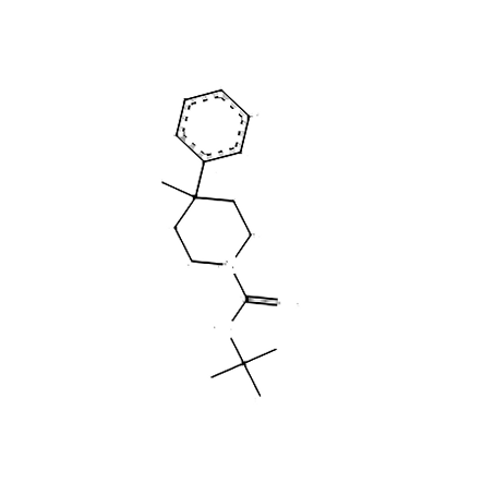 CC(C)(C)OC(=O)N1CCC(C)(c2ccccc2)CC1